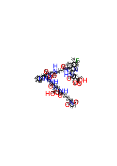 CC[C@@]1(O)C(=O)OCc2c1cc1n(c2=O)Cc2c-1nc1cc(F)c(C)c3c1c2[C@@H](NC(=O)CCCNC(=O)CNC(=O)[C@H](Cc1ccccc1)NC(=O)CNC(=O)CN(CCNC(=O)CCCCCN1C(=O)C=CC1=O)CC(=O)O)CC3